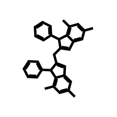 Cc1cc(C)c2c(c1)C=C(CC1=Cc3cc(C)cc(C)c3C1c1ccccc1)C2c1ccccc1